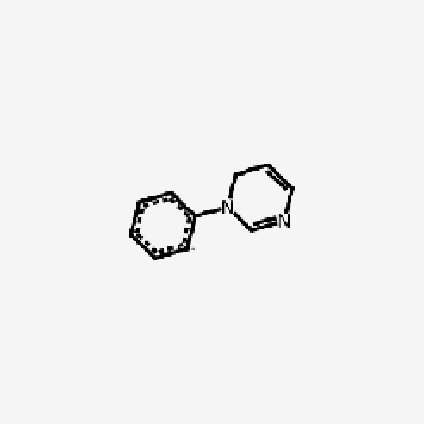 [c]1ccccc1N1C=NC=CC1